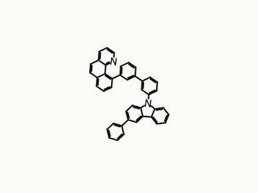 c1ccc(-c2ccc3c(c2)c2ccccc2n3-c2cccc(-c3cccc(-c4cccc5ccc6cccnc6c45)c3)c2)cc1